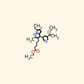 C=C(OCC)c1cncc(-c2c(CCCCC(=O)OCC)c(C)nn3c(CC)ccc23)c1